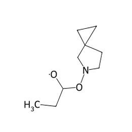 CCC([O])ON1CCC2(CC2)C1